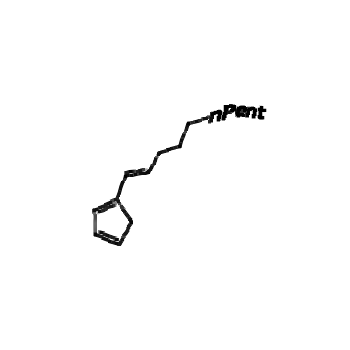 CCCCCCCC/C=C/C1=CC=CC1